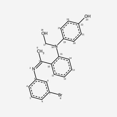 CC(=Nc1cccc(Br)c1)c1ccccc1N(CO)c1ccc(O)cc1